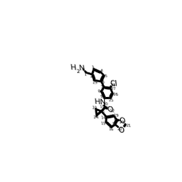 NCc1cccc(-c2cc(NC(=O)C3(c4ccc5c(c4)OCO5)CC3)ccc2Cl)c1